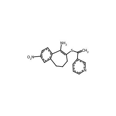 C=C(SC1=C(N)c2ccc([N+](=O)[O-])cc2CCC1)c1cccnc1